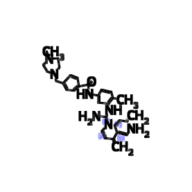 C=C/C=C\C(=C/N)C(=C)/C=C\N=C(/N)Nc1cc(NC(=O)c2ccc(CN3CCN(C)CC3)cc2)ccc1C